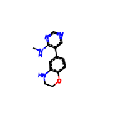 CNc1ncncc1-c1ccc2c(c1)NCCO2